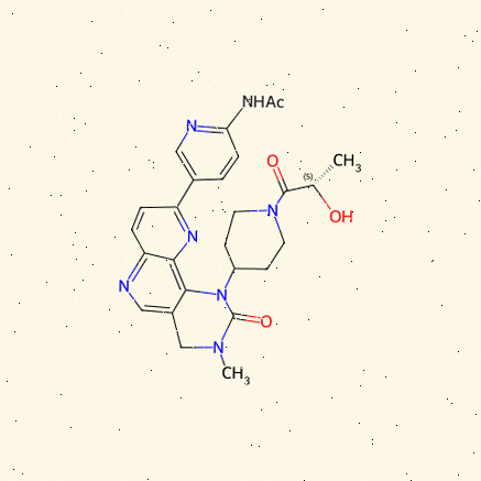 CC(=O)Nc1ccc(-c2ccc3ncc4c(c3n2)N(C2CCN(C(=O)[C@H](C)O)CC2)C(=O)N(C)C4)cn1